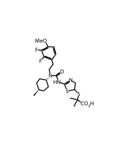 COc1ccc(CCN(C(=O)NC2=NCC(SC(C)(C)C(=O)O)S2)[C@H]2CC[C@H](C)CC2)c(F)c1F